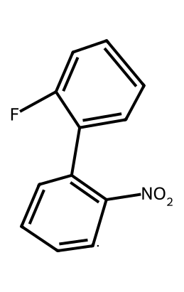 O=[N+]([O-])c1[c]cccc1-c1ccccc1F